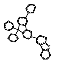 c1ccc(-c2ccc3c(c2)-c2cc(-c4ccc5sc6ccccc6c5c4)ccc2C3(c2ccccc2)c2ccccc2)cc1